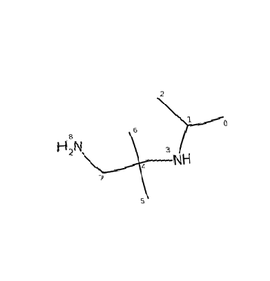 CC(C)NC(C)(C)CN